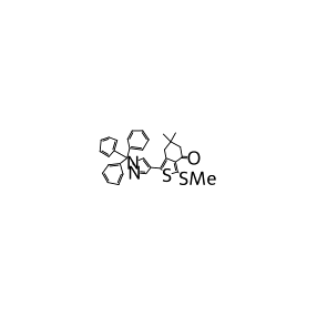 CSc1sc(-c2cnn(C(c3ccccc3)(c3ccccc3)c3ccccc3)c2)c2c1C(=O)CC(C)(C)C2